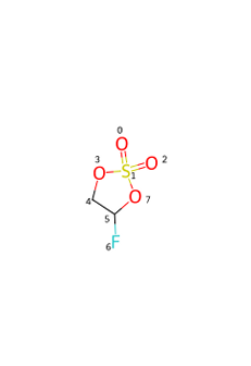 O=S1(=O)OCC(F)O1